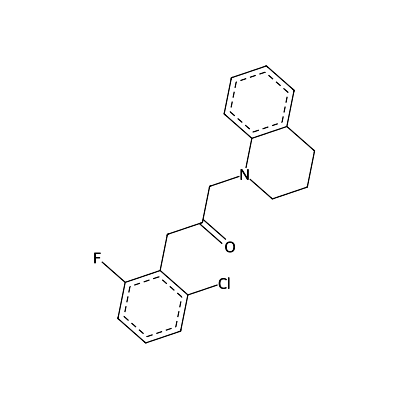 O=C(Cc1c(F)cccc1Cl)CN1CCCc2ccccc21